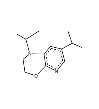 CC(C)c1cnc2c(c1)N(C(C)C)CCO2